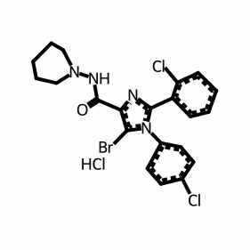 Cl.O=C(NN1CCCCC1)c1nc(-c2ccccc2Cl)n(-c2ccc(Cl)cc2)c1Br